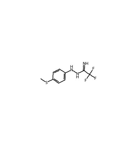 CSc1ccc(NNC(=N)C(F)(F)F)cc1